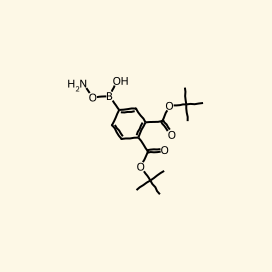 CC(C)(C)OC(=O)c1ccc(B(O)ON)cc1C(=O)OC(C)(C)C